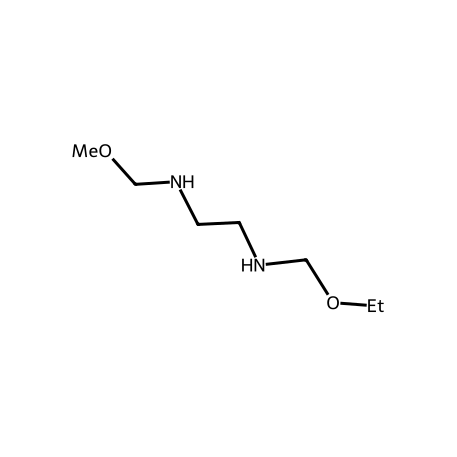 CCOCNCCNCOC